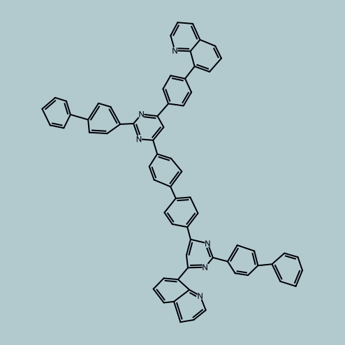 c1ccc(-c2ccc(-c3nc(-c4ccc(-c5ccc(-c6cc(-c7cccc8cccnc78)nc(-c7ccc(-c8ccccc8)cc7)n6)cc5)cc4)cc(-c4ccc(-c5cccc6cccnc56)cc4)n3)cc2)cc1